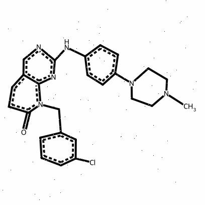 CN1CCN(c2ccc(Nc3ncc4ccc(=O)n(Cc5cccc(Cl)c5)c4n3)cc2)CC1